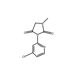 CN1CC(=O)N(c2cc(Cl)ccn2)C1=O